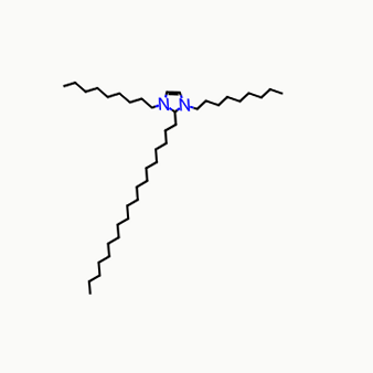 CCCCCCCCCCCCCCCCCCCC1N(CCCCCCCCC)C=CN1CCCCCCCCC